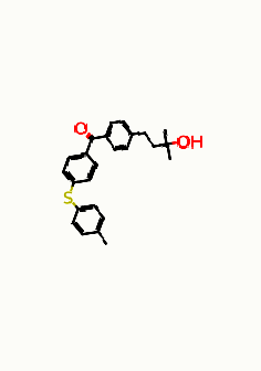 Cc1ccc(Sc2ccc(C(=O)c3ccc(CCC(C)(C)O)cc3)cc2)cc1